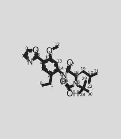 CCc1cc(-c2ncco2)c(OC)cc1NC(=O)[C@@H](CC(C)C)N(C(=O)O)C(C)(C)C